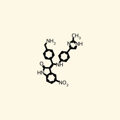 Cc1nc(-c2ccc(NC(=C3C(=O)Nc4ccc([N+](=O)[O-])cc43)c3ccc(CN)cc3)cc2)c[nH]1